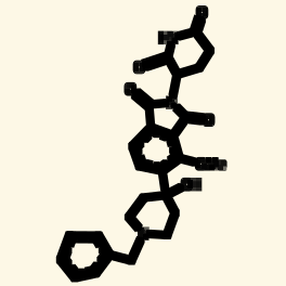 COc1c(C2(O)CCN(Cc3ccccc3)CC2)ccc2c1C(=O)N(C1CCC(=O)NC1=O)C2=O